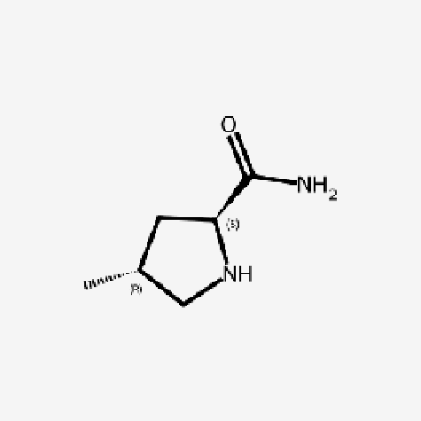 C[C@H]1CN[C@H](C(N)=O)C1